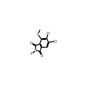 CSc1c(Cl)c(Cl)cc2c1C(=O)N(F)C2=O